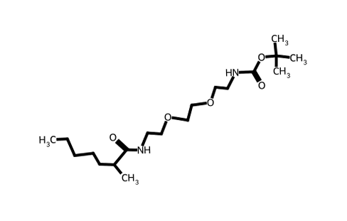 CCCCCC(C)C(=O)NCCOCCOCCNC(=O)OC(C)(C)C